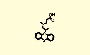 CC(CN(C)CCC(=O)O)N1c2ccccc2Sc2ccccc21